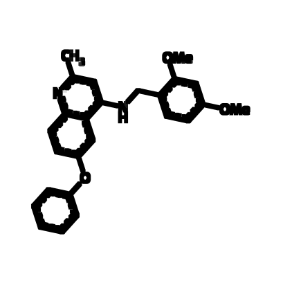 COc1ccc(CNc2cc(C)nc3ccc(Oc4ccccc4)cc23)c(OC)c1